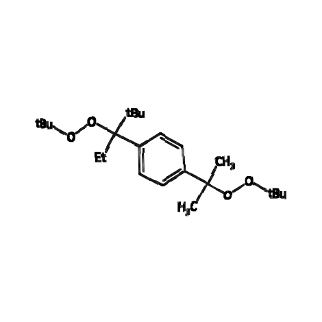 CCC(OOC(C)(C)C)(c1ccc(C(C)(C)OOC(C)(C)C)cc1)C(C)(C)C